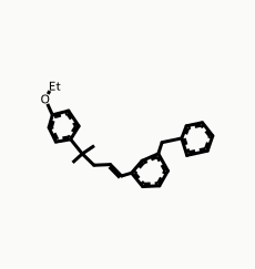 CCOc1ccc(C(C)(C)CC=Cc2cccc(Cc3ccccc3)c2)cc1